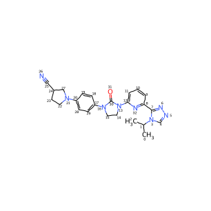 CC(C)n1cnnc1-c1cccc(N2CCN(c3ccc(N4CCC(C#N)C4)cc3)C2=O)n1